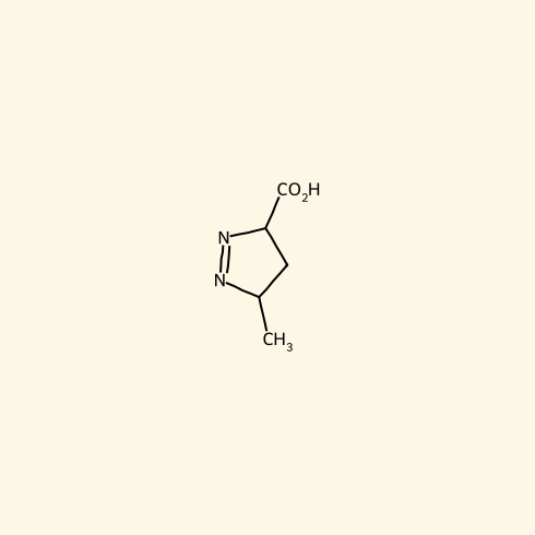 CC1CC(C(=O)O)N=N1